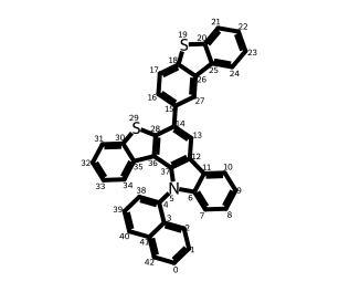 c1ccc2c(-n3c4ccccc4c4cc(-c5ccc6sc7ccccc7c6c5)c5sc6ccccc6c5c43)cccc2c1